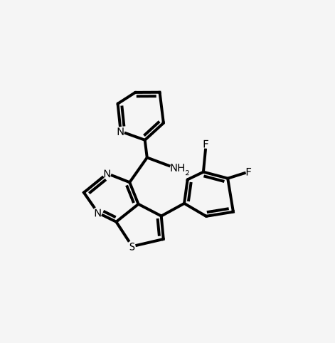 NC(c1ccccn1)c1ncnc2scc(-c3ccc(F)c(F)c3)c12